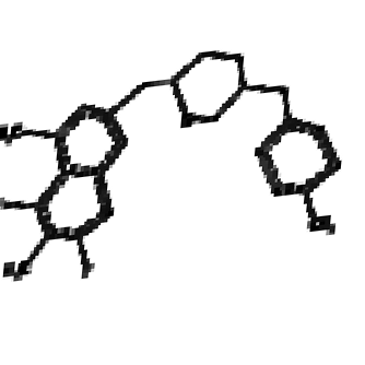 Cc1ccc(CC2CCC(Cc3cc(C)c4c(F)c(C)c(F)cc4c3)OC2)cc1